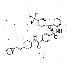 O=C(N[C@H]1CC[C@H](CCN2CCCC2)CC1)c1ccc(S(=O)(=O)Nc2ccccc2Oc2ccc(C(F)(F)F)cc2)cc1